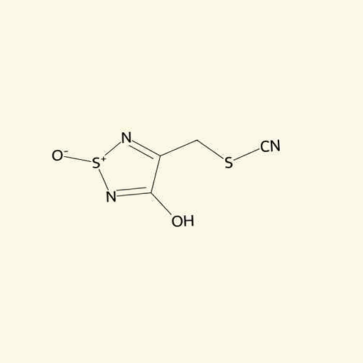 N#CSCc1n[s+]([O-])nc1O